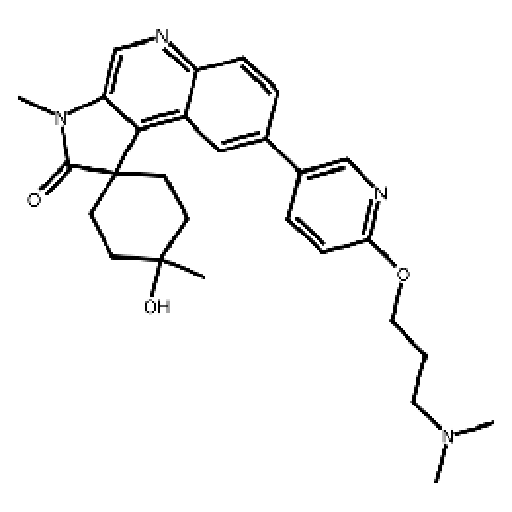 CN(C)CCCOc1ccc(-c2ccc3ncc4c(c3c2)C2(CCC(C)(O)CC2)C(=O)N4C)cn1